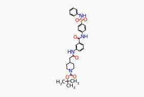 CC(C)(C)OC(=O)N1CCC(CC(=O)Nc2cccc(C(=O)Nc3ccc(S(=O)(=O)Nc4ccccc4)cc3)c2)CC1